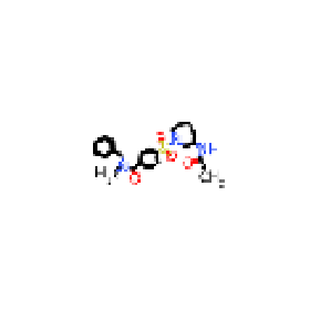 C=CC(=O)NC1CCCCN(S(=O)(=O)c2ccc(C(=O)N(C)Cc3ccccc3)cc2)C1